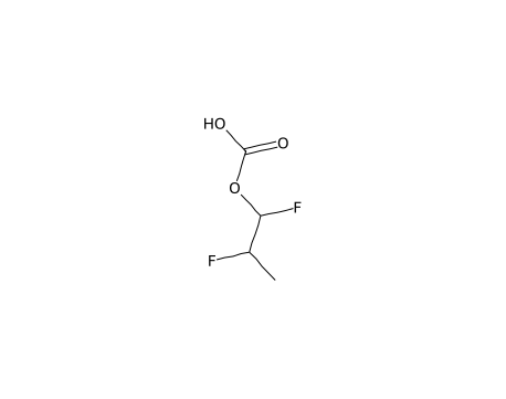 CC(F)C(F)OC(=O)O